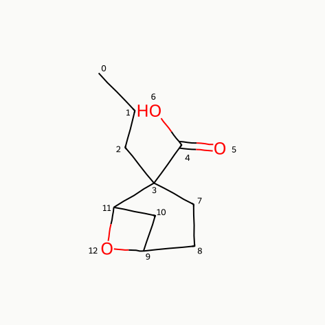 CCCC1(C(=O)O)CCC2CC1O2